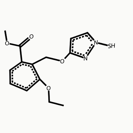 CCOc1cccc(C(=O)OC)c1COc1ccn(S)n1